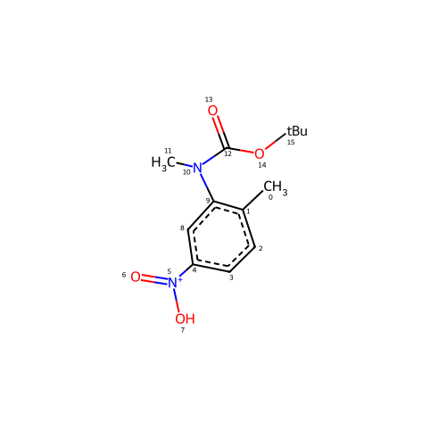 Cc1ccc([N+](=O)O)cc1N(C)C(=O)OC(C)(C)C